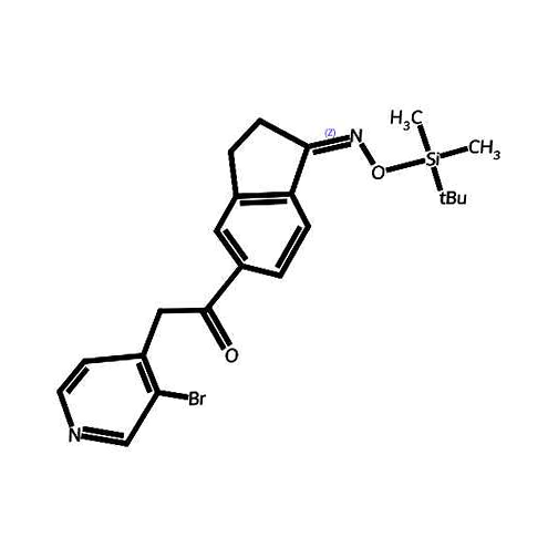 CC(C)(C)[Si](C)(C)O/N=C1/CCc2cc(C(=O)Cc3ccncc3Br)ccc21